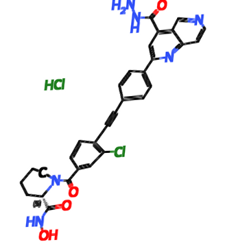 Cl.NNC(=O)c1cc(-c2ccc(C#Cc3ccc(C(=O)N4CCCC[C@H]4C(=O)NO)cc3Cl)cc2)nc2ccncc12